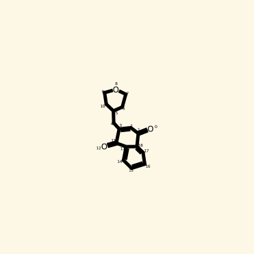 O=C1C=C(CC2CCOCC2)C(=O)c2ccccc21